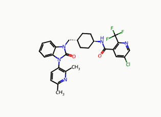 Cc1ccc(-n2c(=O)n(C[C@H]3CC[C@H](NC(=O)c4cc(Cl)cnc4C(F)(F)F)CC3)c3ccccc32)c(C)n1